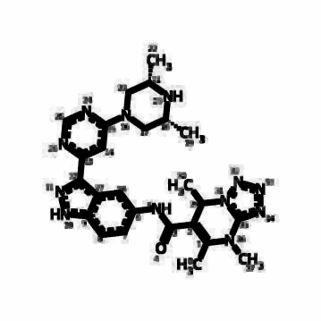 CC1=C(C(=O)Nc2ccc3[nH]nc(-c4cc(N5C[C@@H](C)N[C@@H](C)C5)ncn4)c3c2)C(C)n2nnnc2N1C